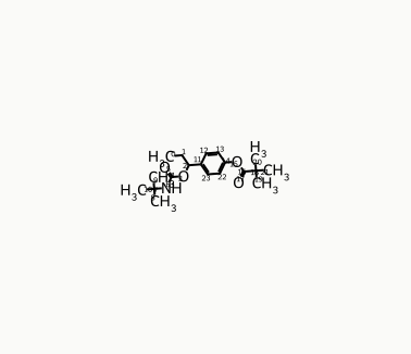 CCC(OC(=O)NC(C)(C)C)c1ccc(OC(=O)C(C)(C)C)cc1